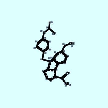 NC(=O)c1cccc2c1c1[c]cc(CO)cc1n2Cc1ccc(OC(F)F)cc1